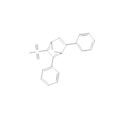 O=S(=O)(O)c1c(-c2ccccc2)c2oc1cc2-c1ccccc1